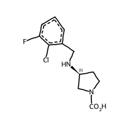 O=C(O)N1CC[C@H](NCc2cccc(F)c2Cl)C1